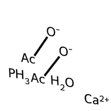 CC(=O)[O-].CC(=O)[O-].O.P.[Ca+2]